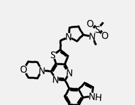 CN(C1CCN(Cc2cc3nc(-c4cccc5[nH]ccc45)nc(N4CCOCC4)c3s2)C1)S(C)(=O)=O